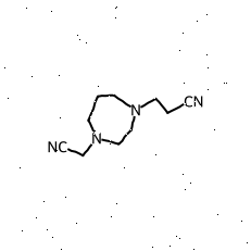 N#CCCN1CCCN(CC#N)CC1